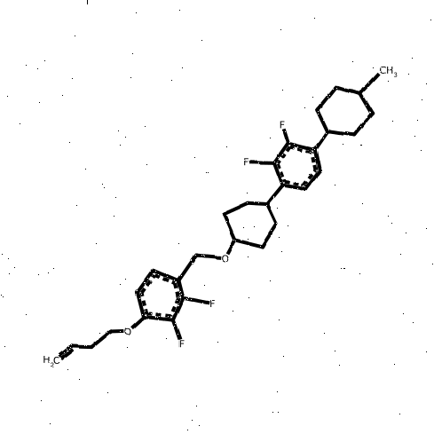 C=CCCOc1ccc(COC2CCC(c3ccc(C4CCC(C)CC4)c(F)c3F)CC2)c(F)c1F